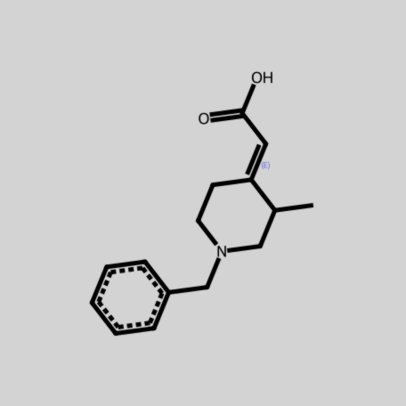 CC1CN(Cc2ccccc2)CC/C1=C\C(=O)O